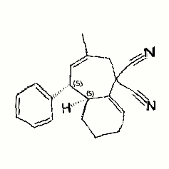 CC1=C[C@@H](c2ccccc2)[C@@H]2CCCC=C2C(C#N)(C#N)C1